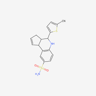 N#Cc1ccc(C2Nc3ccc(S(N)(=O)=O)cc3C3C=CCC32)s1